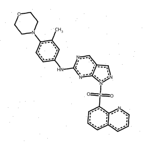 Cc1cc(Nc2ncc3cnn(S(=O)(=O)c4cccc5cccnc45)c3n2)ccc1N1CCOCC1